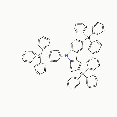 c1ccc([Si](c2ccccc2)(c2ccccc2)c2ccc(-n3c4ccc([Si](c5ccccc5)(c5ccccc5)c5ccccc5)cc4c4cc([Si](c5ccccc5)(c5ccccc5)c5ccccc5)ccc43)cc2)cc1